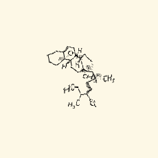 CCC(C=C[C@@H](C)[C@H]1CC[C@H]2[C@@H]3CC=C4CCCC[C@]4(C)[C@H]3CC[C@]12C)C(C)CO